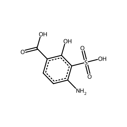 Nc1ccc(C(=O)O)c(O)c1S(=O)(=O)O